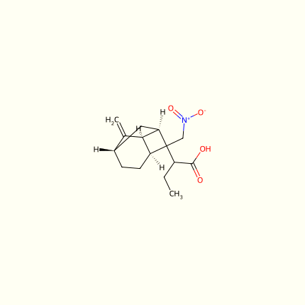 C=C1[C@H]2CC[C@H]3[C@@H]1[C@@H](C2)C3(C[N+](=O)[O-])C(CC)C(=O)O